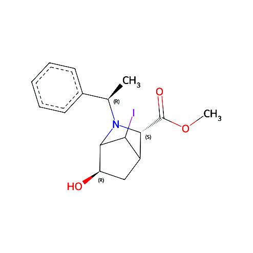 COC(=O)[C@@H]1C2C[C@@H](O)C(C2I)N1[C@H](C)c1ccccc1